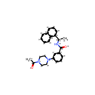 CC(=O)N1CCN(c2cccc(C(=O)N[C@H](C)c3cccc4ccccc34)c2)CC1